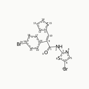 O=C(Nc1ncc(Br)s1)/C(=C/c1cccs1)c1ccc(Br)cc1